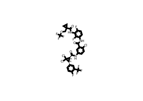 O=C(Nc1ccc(F)c(NC(=O)C2(COC(F)(F)F)CC2)c1F)c1cc(NC(=O)[C@H]2[C@H](c3ccc(F)c(C(F)(F)F)c3)C2(Cl)Cl)ccc1Cl